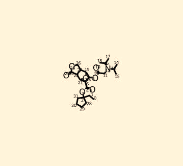 CCC1(OC(=O)C2C(OC(=O)CN(C(C)C)C(C)C)C3OC2C2C(=O)OCC32)CCCC1